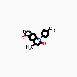 COC(=O)c1ccc2c(c1)c(C)cc(=O)n2-c1ccc(C(F)(F)F)cc1